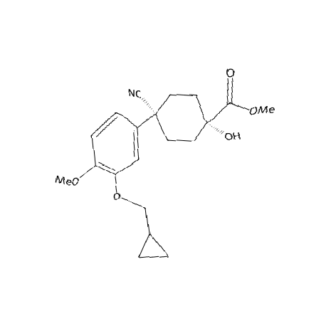 COc1ccc([C@]2(C#N)CC[C@](O)(C(=O)OC)CC2)cc1OCC1CC1